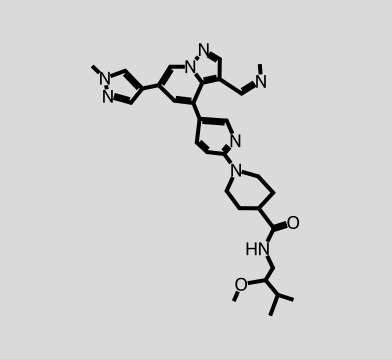 C/N=C\c1cnn2cc(-c3cnn(C)c3)cc(-c3ccc(N4CCC(C(=O)NCC(OC)C(C)C)CC4)nc3)c12